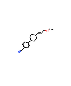 CCOCC=CC1CCC(c2ccc(C#N)cc2)CC1